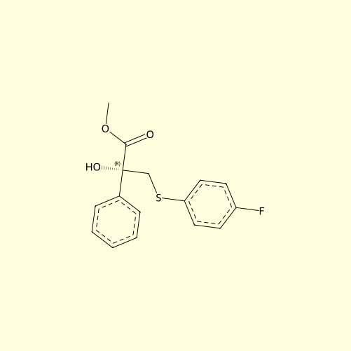 COC(=O)[C@@](O)(CSc1ccc(F)cc1)c1ccccc1